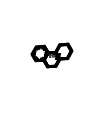 c1ccc2c(c1)CCC13CCCCC21NCC3